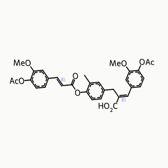 COc1cc(/C=C/C(=O)Oc2ccc(C/C(=C\c3ccc(OC(C)=O)c(OC)c3)C(=O)O)cc2C)ccc1OC(C)=O